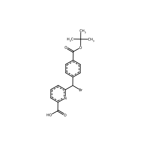 CC(C)(C)OC(=O)c1ccc(C(Br)c2cccc(C(=O)O)n2)cc1